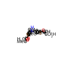 COC(=O)[C@@H](C)CC(=O)c1cc2cc(NCCc3cc4cc(C(=O)C[C@H](C)C(=O)O)sc4cc3OC)c(OC)cc2s1